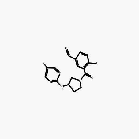 O=Cc1ccc(F)c(C(=O)N2CCC(Nc3ncc(Br)cn3)C2)c1